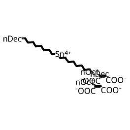 CCCCCCCC/C(=C/C(=O)[O-])C(=O)[O-].CCCCCCCC/C(=C/C(=O)[O-])C(=O)[O-].CCCCCCCCCCCCCCCCC[CH2][Sn+4][CH2]CCCCCCCCCCCCCCCCC